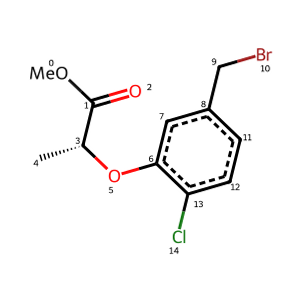 COC(=O)[C@@H](C)Oc1cc(CBr)ccc1Cl